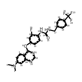 CN(C)c1ccc2c(Oc3ccc(NC(=O)NCc4ccc(C(F)(F)F)cc4)c(F)c3)ncnc2c1